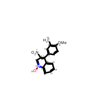 COc1ccc(-c2c([N+](=O)[O-])c[n+]([O-])c3ccccc23)cc1C